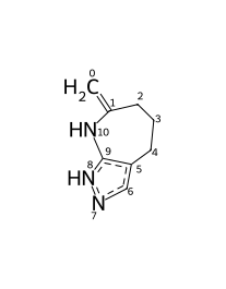 C=C1CCCc2cn[nH]c2N1